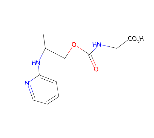 CC(COC(=O)NCC(=O)O)Nc1ccccn1